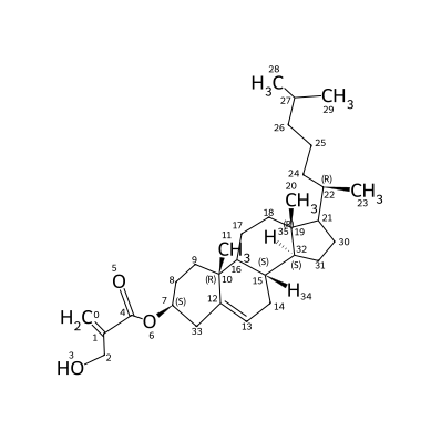 C=C(CO)C(=O)O[C@H]1CC[C@@]2(C)C(=CC[C@@H]3C2CC[C@]2(C)C([C@H](C)CCCC(C)C)CC[C@@H]32)C1